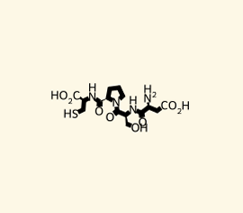 N[C@@H](CC(=O)O)C(=O)N[C@@H](CO)C(=O)N1CCC[C@H]1C(=O)N[C@@H](CS)C(=O)O